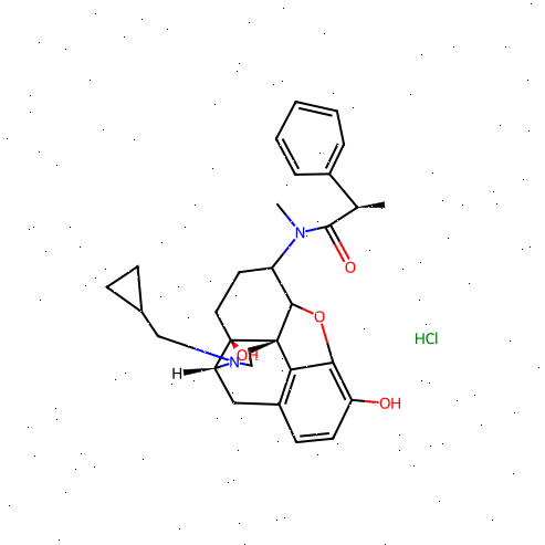 C[C@@H](C(=O)N(C)C1CC[C@@]2(O)[C@H]3Cc4ccc(O)c5c4[C@@]2(CCN3CC2CC2)C1O5)c1ccccc1.Cl